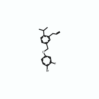 C=CCc1cc(COc2ccc(Br)c(F)c2)ccc1C(C)C